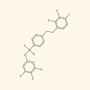 Cc1ccc(CCc2ccc(C(F)(F)Oc3cc(F)c(F)c(F)c3)cc2)c(F)c1F